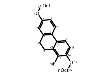 CCCCCCCCOc1ccc2c(c1)CCc1c-2ccc(OCCCCCCCC)c1F